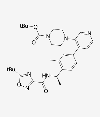 Cc1cc(-c2ccncc2N2CCN(C(=O)OC(C)(C)C)CC2)ccc1[C@@H](C)NC(=O)c1noc(C(C)(C)C)n1